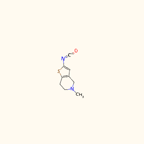 CN1CCc2sc(N=C=O)cc2C1